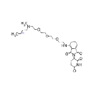 C/C=C/CN(C)CCOCCOCCOCCNc1cccc2c1C(=O)N(C1CCC(=O)NC1=O)C2=O